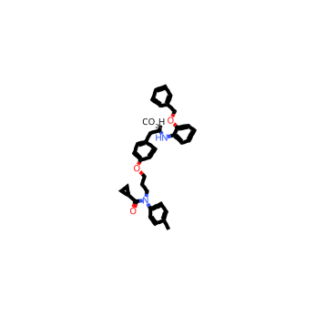 Cc1ccc(N(CCCOc2ccc(CC(Nc3ccccc3OCc3ccccc3)C(=O)O)cc2)C(=O)C2CC2)cc1